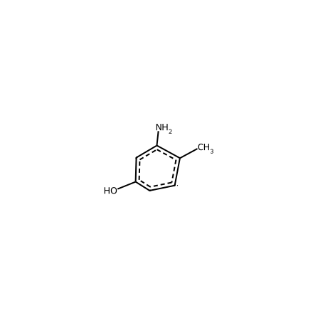 Cc1[c]cc(O)cc1N